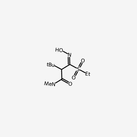 CCS(=O)(=O)C(=NO)C(C(=O)NC)C(C)(C)C